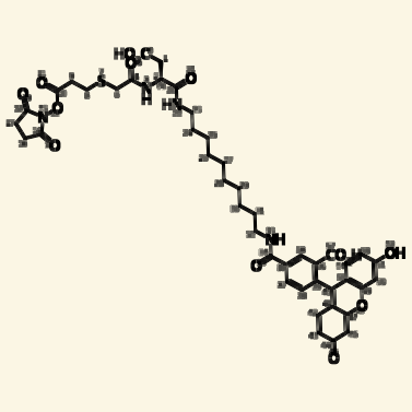 O=C(O)C[C@H](NC(=O)CSCCC(=O)ON1C(=O)CCC1=O)C(=O)NCCCCCCCCCCNC(=O)c1ccc(-c2c3ccc(=O)cc-3oc3cc(O)ccc23)c(C(=O)O)c1